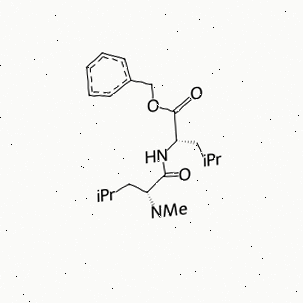 CN[C@H](CC(C)C)C(=O)N[C@@H](CC(C)C)C(=O)OCc1ccccc1